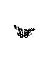 CC(O[Si](C)(C)C(C)(C)C)c1ccnc(-n2ncc3ccc(-c4cccc(C(O)(N[S@+]([O-])C(C)(C)C)C5CC(O[Si](C)(C)C(C)(C)C)C5)n4)cc32)n1